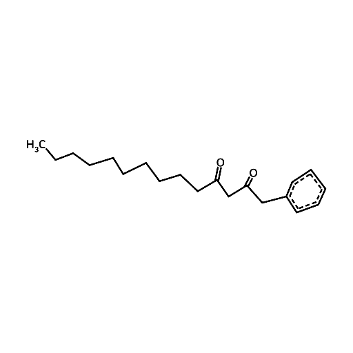 CCCCCCCCCCC(=O)CC(=O)Cc1ccccc1